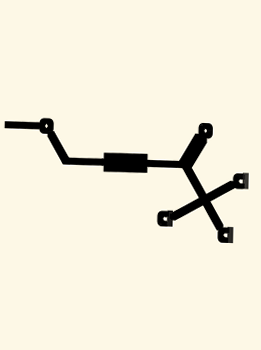 COCC#CC(=O)C(Cl)(Cl)Cl